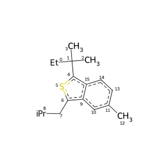 CCC(C)(C)c1sc(CC(C)C)c2cc(C)ccc12